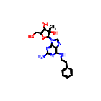 CC1(O)C(O)C(CO)OC1n1cnc2c(NCCc3ccccc3)nc(N)nc21